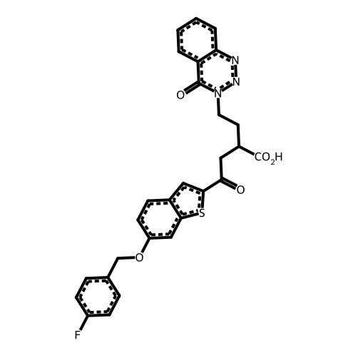 O=C(CC(CCn1nnc2ccccc2c1=O)C(=O)O)c1cc2ccc(OCc3ccc(F)cc3)cc2s1